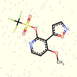 COc1ccnc(OS(=O)(=O)C(F)(F)F)c1-c1ccno1